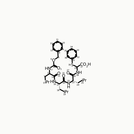 CC(C)CC(NC(=O)OCc1ccccc1)C(=O)N[C@@H](CC(C)C)C(=O)N[C@@H](CC(C)C)C(=O)NC(Sc1ccccc1)C(=O)O